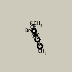 CC1CCCN(C2CCN(S(=O)(=O)C3=CCC(OC(C)(F)F)C(Br)=C3)CC2)CC1